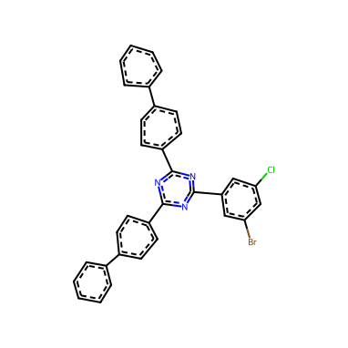 Clc1cc(Br)cc(-c2nc(-c3ccc(-c4ccccc4)cc3)nc(-c3ccc(-c4ccccc4)cc3)n2)c1